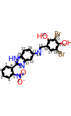 O=[N+]([O-])c1ccccc1-c1nc2cc(/N=C/c3cc(Br)c(O)c(Br)c3O)ccc2[nH]1